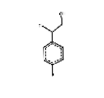 OCC(Cl)c1ccc(F)cc1